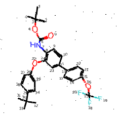 CC(C)(C)OC(=O)Nc1ccc(-c2ccc(OC(F)(F)F)cc2)cc1Oc1ccc(C(C)(C)C)cc1